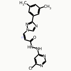 Cc1cc(C)cc(-c2ncn(/C=C\C(=O)NNc3cc(Cl)ncn3)n2)c1